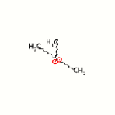 CCCC=CCCCOC(=O)C(=CCCCCC)CCC=CCCCC